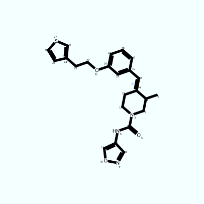 CC1CN(C(=O)Nc2cnoc2)CC/C1=C\c1cccc(OCCc2ccsc2)c1